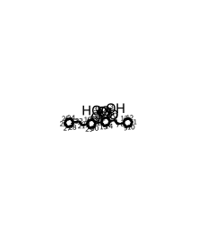 O=S(=O)(O)c1c(C=Cc2ccccc2)ccc(-c2ccc(C=Cc3ccccc3)cc2)c1S(=O)(=O)O